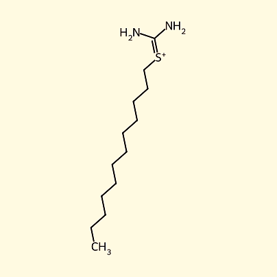 CCCCCCCCCCCC[S+]=C(N)N